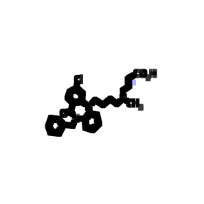 CN(C/C=C/C(=O)O)CCCCN1c2cc(Cl)ccc2C(=O)N(Cc2ccccc2)c2ccccc21